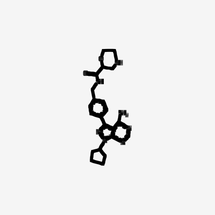 Nc1ncnc2c1c(-c1ccc(CNC(=O)C3CNCCO3)cc1)nn2C1CCCC1